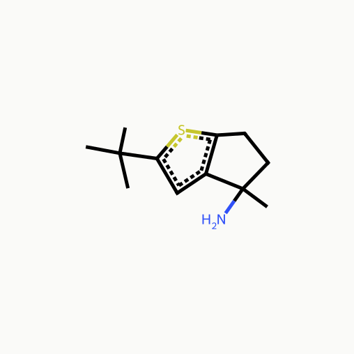 CC(C)(C)c1cc2c(s1)CCC2(C)N